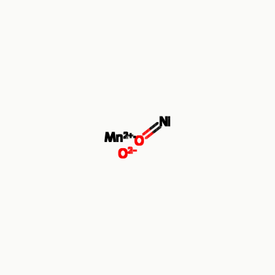 [Mn+2].[O-2].[O]=[Ni]